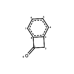 O=C1Cc2ccccc21